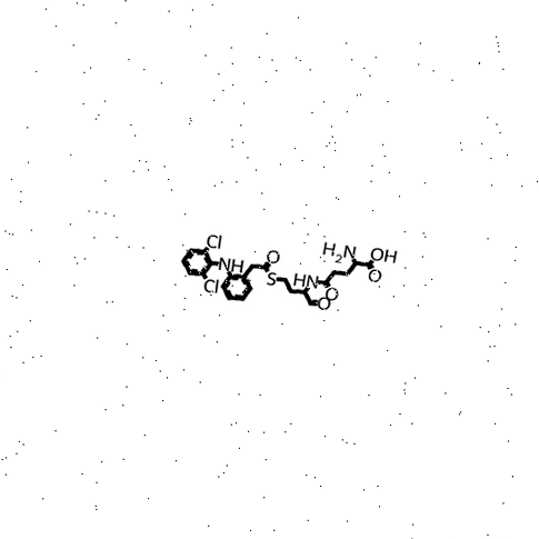 NC(CCC(=O)NC(C=O)CCSC(=O)Cc1ccccc1Nc1c(Cl)cccc1Cl)C(=O)O